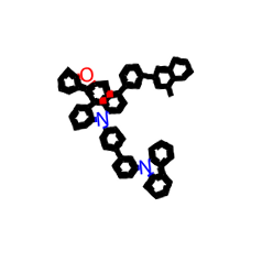 CC1C=C(c2cccc(-c3ccc(N(c4ccc(-c5cccc(-n6c7ccccc7c7ccccc76)c5)cc4)c4ccccc4-c4cccc5oc6ccccc6c45)cc3)c2)C=C2C=CC=CC21